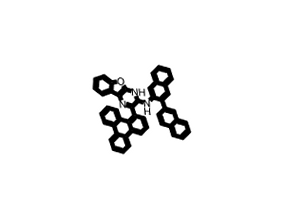 c1ccc2cc(-c3cc4ccccc4cc3NC3Nc4oc5ccccc5c4N=C3c3cccc4c5ccccc5c5ccccc5c34)ccc2c1